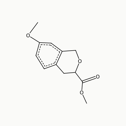 COC(=O)C1Cc2ccc(OC)cc2CO1